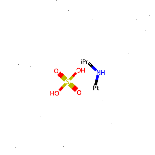 CC(C)[NH][Pt].O=S(=O)(O)O